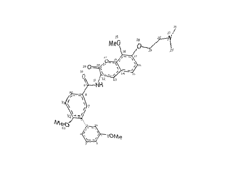 COc1cccc(-c2cc(C(=O)Nc3cc4ccc(OCCN(C)C)c(OC)c4oc3=O)ccc2OC)c1